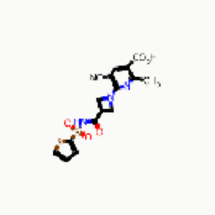 Cc1nc(N2CC(C(=O)NS(=O)(=O)c3cccs3)C2)c(C#N)cc1C(=O)O